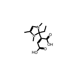 CCC1(/C(=C/C(=O)O)C(=O)O)N(C)C=C(C)N1C